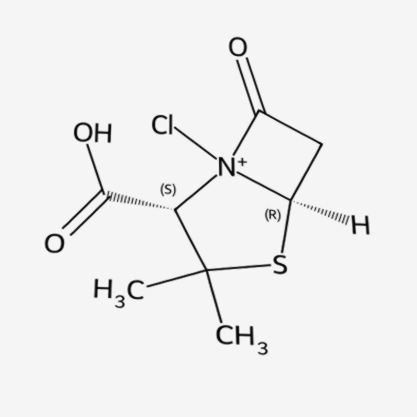 CC1(C)S[C@@H]2CC(=O)[N+]2(Cl)[C@H]1C(=O)O